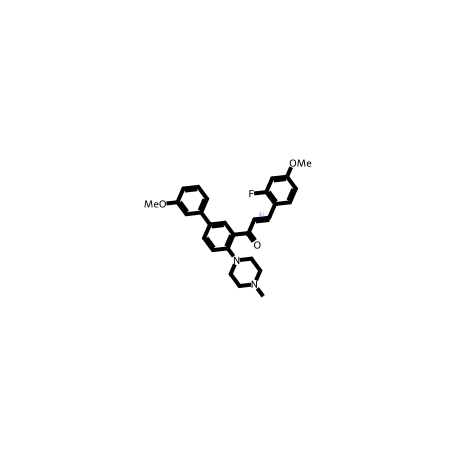 COc1cccc(-c2ccc(N3CCN(C)CC3)c(C(=O)/C=C/c3ccc(OC)cc3F)c2)c1